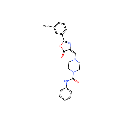 COc1cccc(C2=N/C(=C/N3CCN(C(=O)Nc4ccccc4)CC3)C(=O)O2)c1